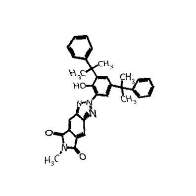 CN1C(=O)c2cc3nn(-c4cc(C(C)(C)c5ccccc5)cc(C(C)(C)c5ccccc5)c4O)nc3cc2C1=O